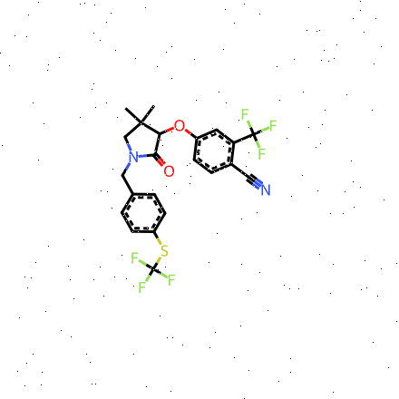 CC1(C)CN(Cc2ccc(SC(F)(F)F)cc2)C(=O)C1Oc1ccc(C#N)c(C(F)(F)F)c1